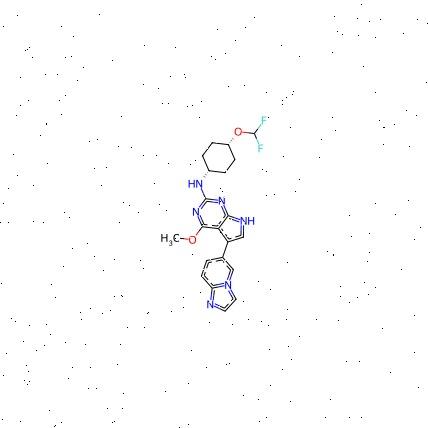 COc1nc(N[C@H]2CC[C@@H](OC(F)F)CC2)nc2[nH]cc(-c3ccc4nccn4c3)c12